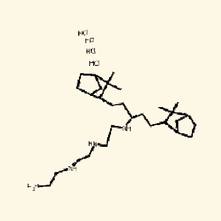 CC1(C)C2CCC(C2)C1CCC(CCC1C2CCC(C2)C1(C)C)NCCNCCNCCN.Cl.Cl.Cl.Cl